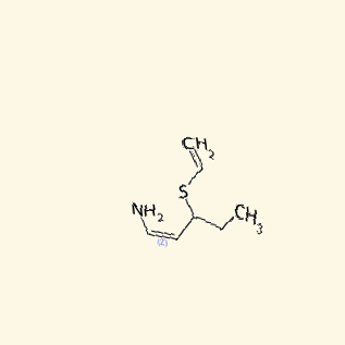 C=CSC(/C=C\N)CC